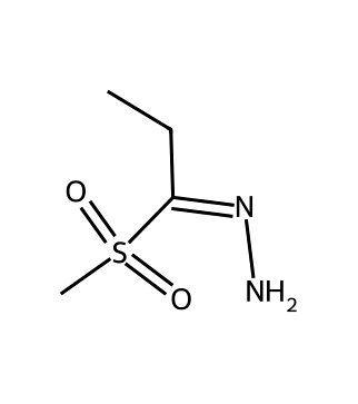 CCC(=NN)S(C)(=O)=O